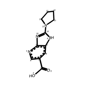 O=C(O)c1cnc2c(c1)BC(N1CCCC1)=N2